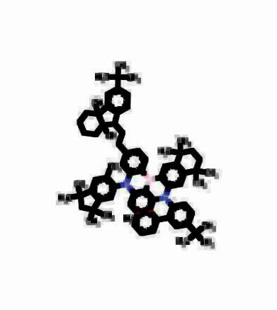 Cc1cc2c3c(c1)N(c1ccc(C(C)(C)C)cc1-c1ccccc1)c1cc4c(cc1B3c1ccc(CCC3c5ccc(C(C)(C)C)cc5C5(C)CCCCC35C)cc1N2c1cc2c(cc1C)C(C)(C)CC2(C)C)C(C)(C)CCC4(C)C